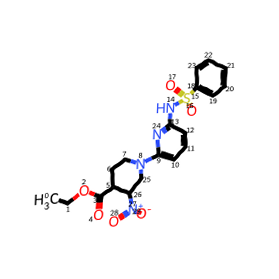 CCOC(=O)C1CCN(c2cccc(NS(=O)(=O)c3ccccc3)n2)CC1[N+](=O)[O-]